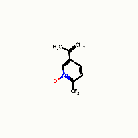 C=C(C)c1ccc(C(F)(F)F)[n+]([O-])c1